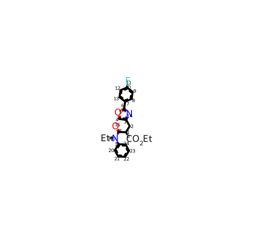 CCOC(=O)C(Cc1coc(-c2ccc(F)cc2)n1)C(=O)N(CC)c1ccccc1